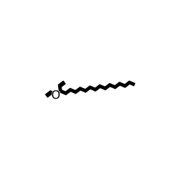 C=COC(C=C)CCCCCCCCCCCCCCC